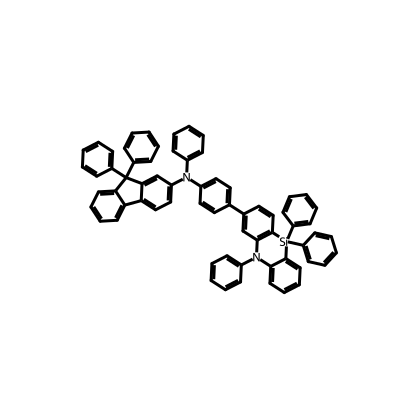 c1ccc(N(c2ccc(-c3ccc4c(c3)N(c3ccccc3)c3ccccc3[Si]4(c3ccccc3)c3ccccc3)cc2)c2ccc3c(c2)C(c2ccccc2)(c2ccccc2)c2ccccc2-3)cc1